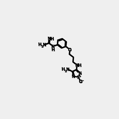 N=C(N)Nc1cccc(OCCCNc2n[s+]([O-])nc2N)c1